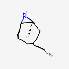 CCCC1CCC2N[C@H]2C1